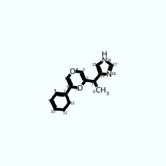 CC(C1=COC=C(C2=CC=CCC2)O1)c1c[nH]cn1